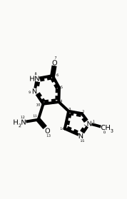 Cn1cc(-c2cc(=O)[nH]nc2C(N)=O)cn1